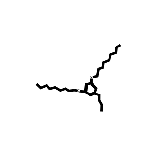 [CH2]CCCc1cc(SCCCCCCCCC)cc(SCCCCCCCCC)c1